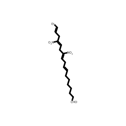 CC/C=C/C/C(=C/C/C(=C/C/C=C/CCCCCC[C]=O)[N+](=O)[O-])[N+](=O)[O-]